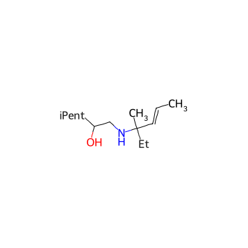 CC=CC(C)(CC)NCC(O)C(C)CCC